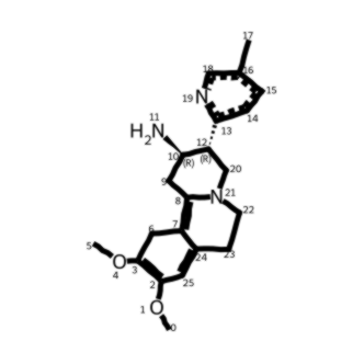 COC1=C(OC)CC2=C3C[C@@H](N)[C@H](c4ccc(C)cn4)CN3CCC2=C1